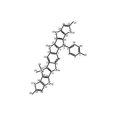 Cc1ccc(-n2c3c4cc5sc6c(c5cc4sc3c3sc4cc(C)sc4c32)[Si](C)(C)c2c-6sc3cc(C)sc23)cc1